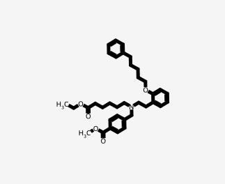 CCOC(=O)CCCCCN(CCc1ccccc1OCCCCCc1ccccc1)Cc1ccc(C(=O)OC)cc1